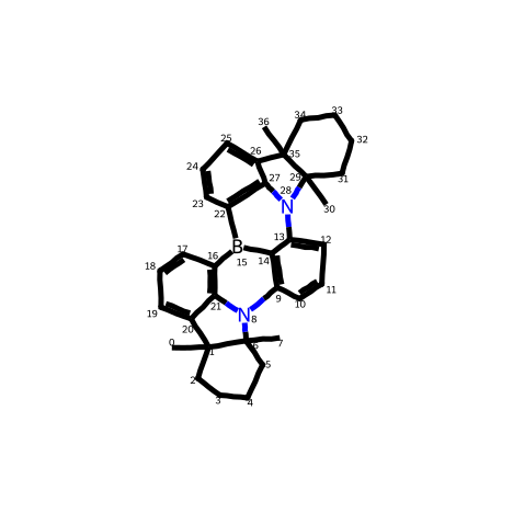 CC12CCCCC1(C)N1c3cccc4c3B(c3cccc2c31)c1cccc2c1N4C1(C)CCCCC21C